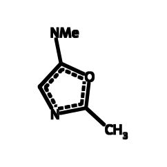 CNc1cnc(C)o1